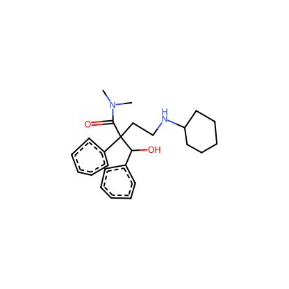 CN(C)C(=O)C(CCNC1CCCCC1)(c1ccccc1)C(O)c1ccccc1